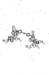 C=C1CCN(C(=O)[C@@H](NC(=O)OC)C(C)C)[C@@H]1c1nc2cc(C#Cc3ccc(-c4[nH]cnc4[C@@H]4CCCN4C(=O)C(C=C(C)C)NC(=O)OC)cc3)ccc2[nH]1